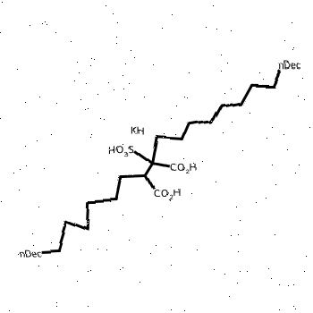 CCCCCCCCCCCCCCCCCCC(C(=O)O)(C(CCCCCCCCCCCCCCCC)C(=O)O)S(=O)(=O)O.[KH]